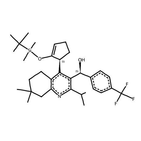 CC(C)c1nc2c(c([C@@H]3CCC=C3O[Si](C)(C)C(C)(C)C)c1[C@@H](O)c1ccc(C(F)(F)F)cc1)CCC(C)(C)C2